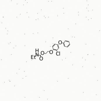 CCNC(=O)OCCOc1ccc(Oc2ccccc2)cc1Cl